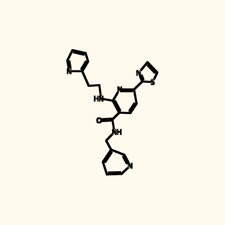 O=C(NCc1cccnc1)c1ccc(-c2nccs2)nc1NCCc1ccccn1